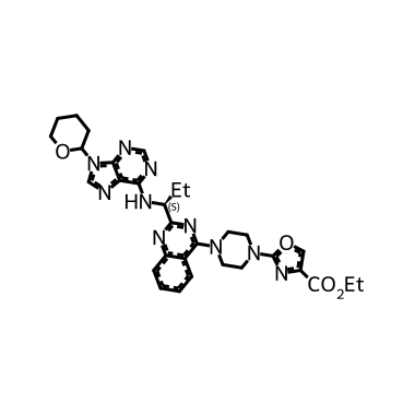 CCOC(=O)c1coc(N2CCN(c3nc([C@H](CC)Nc4ncnc5c4ncn5C4CCCCO4)nc4ccccc34)CC2)n1